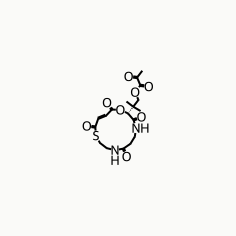 CC(=O)C(=O)OCC(C)(C)[C@H]1OC(=O)/C=C/C(=O)SCCNC(=O)CCNC1=O